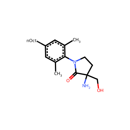 CCCCCCCCc1cc(C)c(N2CCC(N)(CO)C2=O)c(C)c1